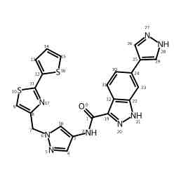 O=C(Nc1cnn(Cc2csc(-c3cccs3)n2)c1)c1n[nH]c2cc(-c3cn[nH]c3)ccc12